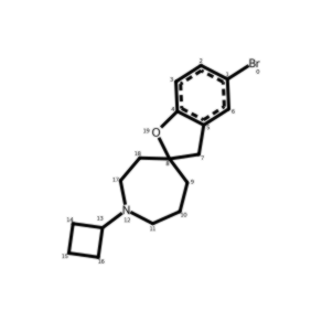 Brc1ccc2c(c1)CC1(CCCN(C3CCC3)CC1)O2